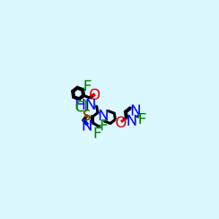 O=C(NCC(c1scnc1C(F)F)N1CCC(Oc2ccnc(F)n2)CC1)c1c(F)cccc1Cl